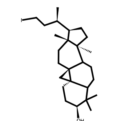 C[C@H](CCI)[C@H]1CC[C@@]2(C)C3CCC4C(C)(C)[C@@H](O)CC[C@@]45C[C@@]35CC[C@]12C